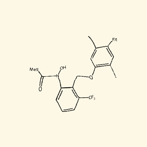 CCc1cc(C)c(OCc2c(N(O)C(=O)SC)cccc2C(F)(F)F)cc1C